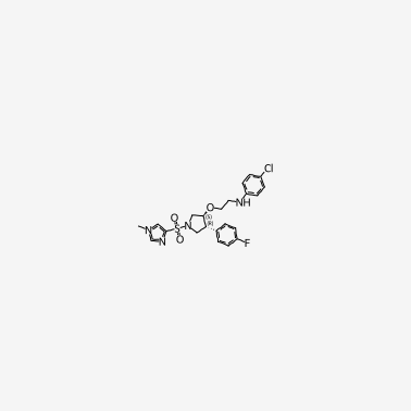 Cn1cnc(S(=O)(=O)N2C[C@@H](OCCNc3ccc(Cl)cc3)[C@H](c3ccc(F)cc3)C2)c1